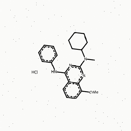 COc1cccc2c(Nc3ccccc3)nc(N(C)C3CCCCC3)nc12.Cl